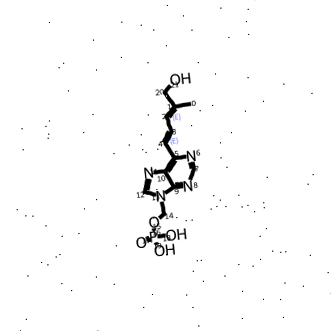 C/C(=C\C=C\c1ncnc2c1ncn2COP(=O)(O)O)CO